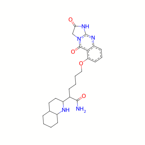 NC(=O)C(CCCCOc1cccc2nc3n(c(=O)c12)CC(=O)N3)C1CCC2CCCCC2N1